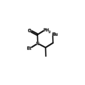 CCC(C)CC(C)N(CC)C(=O)P